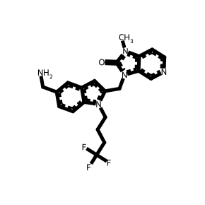 Cn1c(=O)n(Cc2cc3cc(CN)ccc3n2CCCC(F)(F)F)c2cnccc21